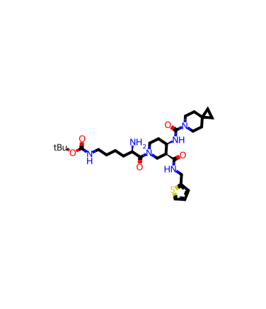 CC(C)(C)OC(=O)NCCCC[C@@H](N)C(=O)N1CC[C@@H](NC(=O)N2CCC3(CC2)CC3)[C@@H](C(=O)NCc2cccs2)C1